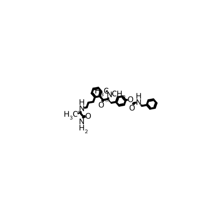 C[C@@H](NCCCc1ccccc1C(=O)[C@H](Cc1ccc(OC(=O)NCc2ccccc2)cc1)N(C)C)C(N)=O